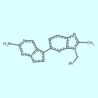 Cc1nc2ccc(-c3ccn4nc(N)ncc34)nc2n1CC(C)C